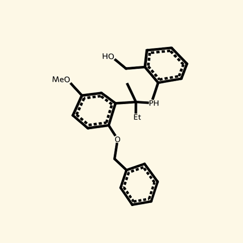 CCC(C)(Pc1ccccc1CO)c1cc(OC)ccc1OCc1ccccc1